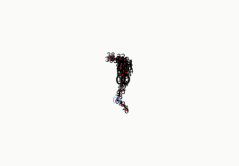 CCCCCC/C=C\CCCCCCCC(=O)OC1CC[C@@]2(C)C(=CC[C@H]3[C@@H]4CC[C@H]([C@H](C)CCCC(C)C)[C@@]4(C)CC[C@@H]32)C1